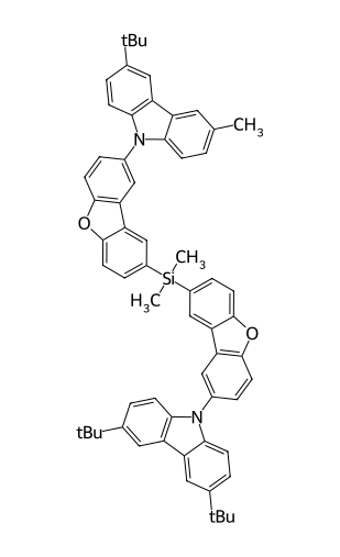 Cc1ccc2c(c1)c1cc(C(C)(C)C)ccc1n2-c1ccc2oc3ccc([Si](C)(C)c4ccc5oc6ccc(-n7c8ccc(C(C)(C)C)cc8c8cc(C(C)(C)C)ccc87)cc6c5c4)cc3c2c1